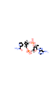 C=C[C@@H]1[C@@H]2OP(=O)(O)OC[C@H]3C[C@@H](c4ccnc(C(N)=O)c4)[C@@H]3COP(=O)(O)OC[C@H]2O[C@H]1n1cnc2c(N)ncnc21